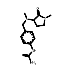 CN1CCC(N(C)Cc2ccc(NC(N)=O)cc2)C1=O